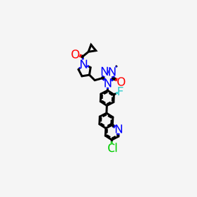 Cn1nc(CC2CCN(C(=O)C3CC3)C2)n(-c2ccc(-c3ccc4cc(Cl)cnc4c3)cc2F)c1=O